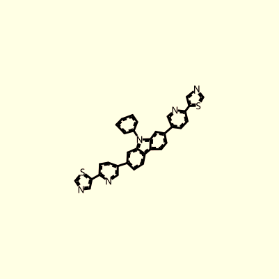 c1ccc(-n2c3cc(-c4ccc(-c5cncs5)nc4)ccc3c3ccc(-c4ccc(-c5cncs5)nc4)cc32)cc1